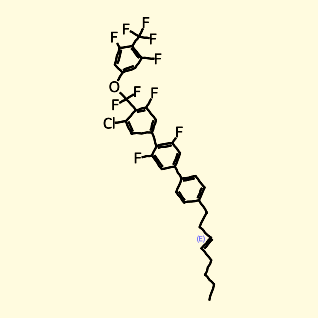 CCCC/C=C/CCc1ccc(-c2cc(F)c(-c3cc(F)c(C(F)(F)Oc4cc(F)c(C(F)(F)F)c(F)c4)c(Cl)c3)c(F)c2)cc1